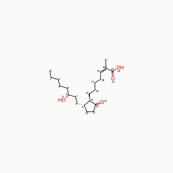 CCCCCC(O)CC[C@H]1CCC(=O)[C@@H]1CCCC/C=C(/C)C(=O)O